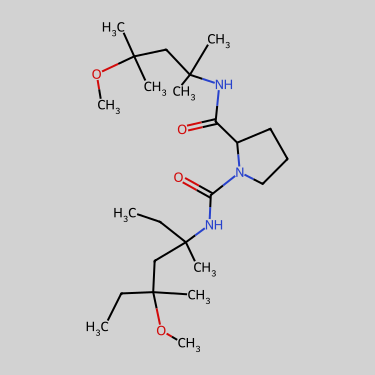 CCC(C)(CC(C)(CC)OC)NC(=O)N1CCCC1C(=O)NC(C)(C)CC(C)(C)OC